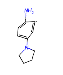 Nc1[c]cc(N2CCCC2)cc1